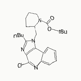 CCCCc1nc2c(Cl)nc3ccccc3c2n1CC1CCCCN1C(=O)OC(C)(C)C